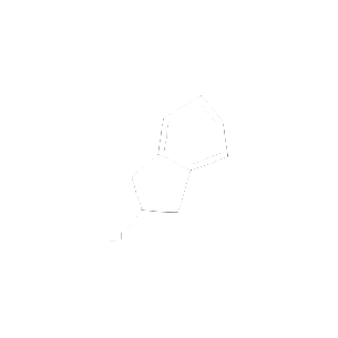 CCC1Cc2c[c]ccc2C1